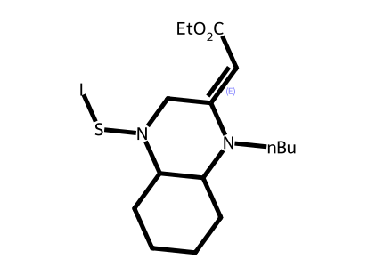 CCCCN1/C(=C/C(=O)OCC)CN(SI)C2CCCCC21